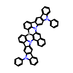 c1ccc(-n2c3ccccc3c3cc4c(cc32)c2cccc3c2n4-c2c4c(cc5ccccc25)-n2c5cc6c(cc5c5cccc(c52)B43)c2ccccc2n6-c2ccccc2)cc1